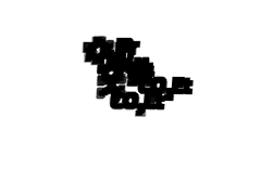 CCOC(=O)CC(C)c1ccc(N(CC(C)C)C2CCCCC2)c(Nc2nnc(C(=O)OCC)s2)c1